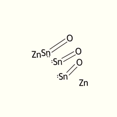 [O]=[Sn].[O]=[Sn].[O]=[Sn].[Zn].[Zn]